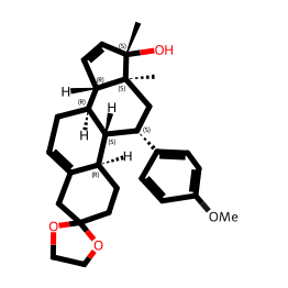 COc1ccc([C@H]2C[C@@]3(C)[C@@H](C=C[C@]3(C)O)[C@@H]3CC=C4CC5(CC[C@@H]4[C@H]32)OCCO5)cc1